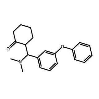 CN(C)C(c1cccc(Oc2ccccc2)c1)C1CCCCC1=O